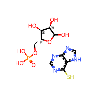 O=P(O)(O)OC[C@H]1OC(O)[C@H](O)[C@@H]1O.Sc1ncnc2nc[nH]c12